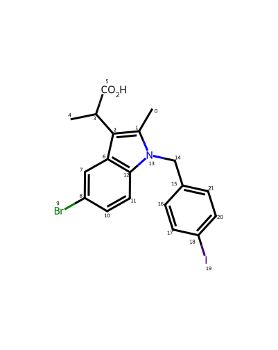 Cc1c(C(C)C(=O)O)c2cc(Br)ccc2n1Cc1ccc(I)cc1